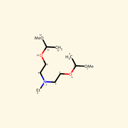 CCN(CCOC(C)OC)CCOC(C)OC